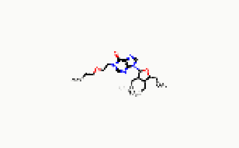 COCCOCCn1cnc2c(ncn2C2O[C@@H](COC(C)=O)C(CC(=O)O)C2CC(=O)O)c1=O